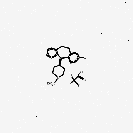 CCOC(=O)N1CCC(=C2c3ccc(Cl)cc3CCc3cccnc32)CC1.O=C(O)C(F)(F)F